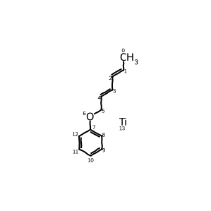 CC=CC=CCOc1ccccc1.[Ti]